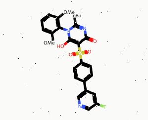 CCCCc1nc(=O)c(S(=O)(=O)c2ccc(-c3cncc(F)c3)cc2)c(O)n1-c1c(OC)cccc1OC